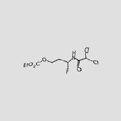 CCOC(=O)OCCC(F)NC(=O)C(Cl)Cl